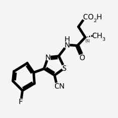 C[C@@H](CC(=O)O)C(=O)Nc1nc(-c2cccc(F)c2)c(C#N)s1